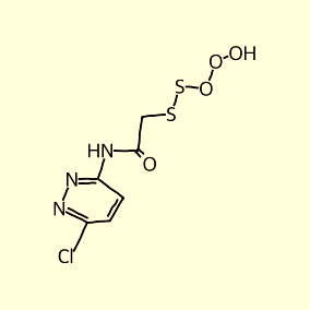 O=C(CSSOOO)Nc1ccc(Cl)nn1